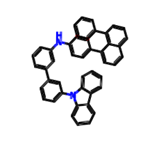 c1ccc(-c2cccc3cccc(-c4ccc(Nc5cccc(-c6cccc(-n7c8ccccc8c8ccccc87)c6)c5)cc4)c23)cc1